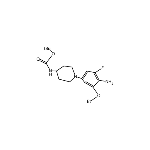 CCOc1cc(N2CCC(NC(=O)OC(C)(C)C)CC2)cc(F)c1N